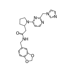 O=C(CC1CCCN1c1ccnc(Cn2ccnc2)n1)NCc1ccc2c(c1)OCO2